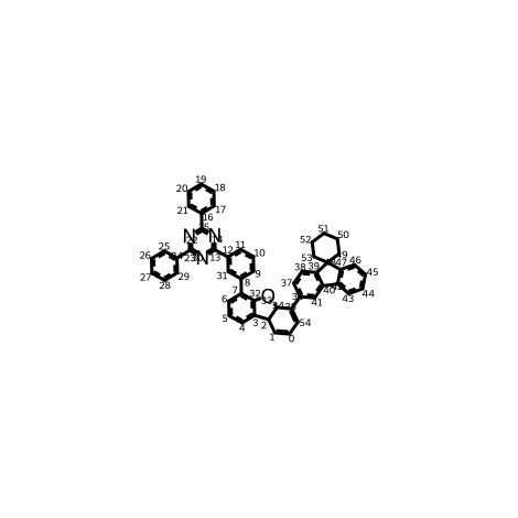 C1=CC2c3cccc(-c4cccc(-c5nc(-c6ccccc6)nc(-c6ccccc6)n5)c4)c3OC2C(c2ccc3c(c2)-c2ccccc2C32CCCCC2)=C1